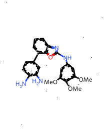 COc1cc(Nc2nc3cccc(-c4ccc(N)c(N)c4)c3o2)cc(OC)c1OC